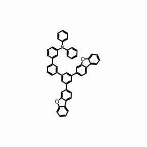 c1ccc(N(c2ccccc2)c2cccc(-c3cccc(-c4cc(-c5ccc6c(c5)oc5ccccc56)cc(-c5ccc6c(c5)oc5ccccc56)c4)c3)c2)cc1